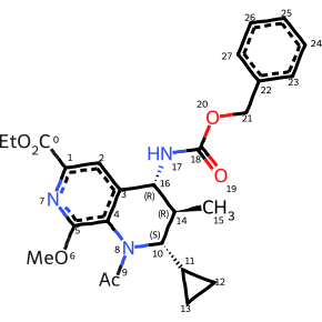 CCOC(=O)c1cc2c(c(OC)n1)N(C(C)=O)[C@@H](C1CC1)[C@H](C)[C@H]2NC(=O)OCc1ccccc1